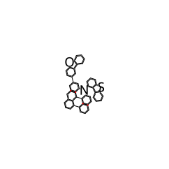 c1ccc(-c2cccc3cccc(-c4ccccc4N(c4cccc(-c5ccc6oc7ccccc7c6c5)c4)c4cccc5sc6ccccc6c45)c23)cc1